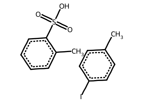 Cc1ccc(I)cc1.Cc1ccccc1S(=O)(=O)O